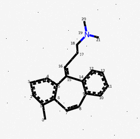 Cc1cccc2c1C=Cc1ccccc1C2=CCCN(C)C